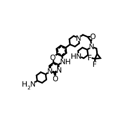 NC1CCC(n2cc3c(nc2=O)Nc2cc(C4CCN(CC5OC5N(CC5CC5(F)F)C5CCNCC5)CC4)ccc2O3)CC1